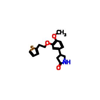 COc1ccc(C2CNC(=O)C2)cc1OCCc1cccs1